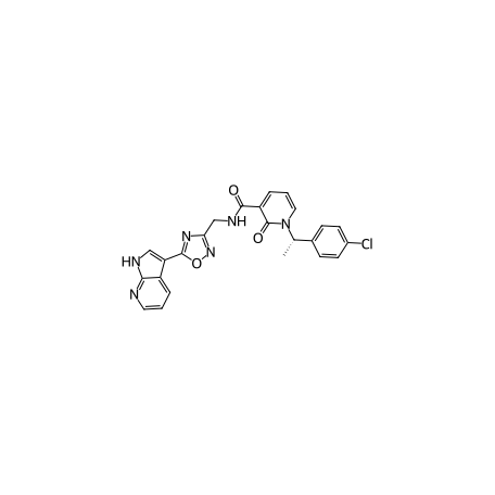 C[C@@H](c1ccc(Cl)cc1)n1cccc(C(=O)NCc2noc(-c3c[nH]c4ncccc34)n2)c1=O